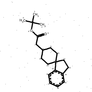 CC(C)(C)OC(=O)CC1CCC2(CCc3ccccc32)CC1